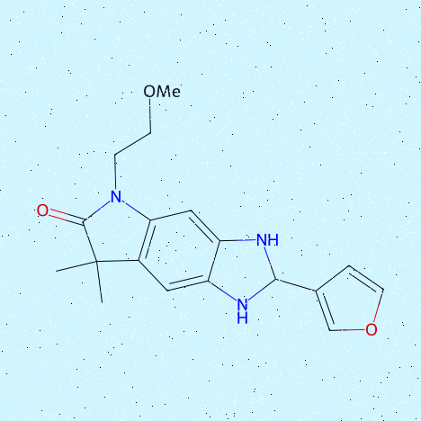 COCCN1C(=O)C(C)(C)c2cc3c(cc21)NC(c1ccoc1)N3